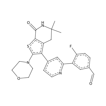 CC1(C)Cc2c(sc(N3CCOCC3)c2-c2ccnc(-c3cc(C=O)ccc3F)c2)C(=O)N1